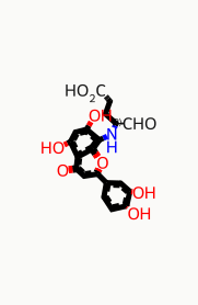 O=C[C@@H](CCC(=O)O)Nc1c(O)cc(O)c2c(=O)cc(-c3ccc(O)c(O)c3)oc12